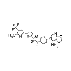 Cn1nc(-c2ccc(S(=O)(=O)Nc3ccc(N4CN=c5occc5=C4N)cc3)s2)cc1C(F)(F)F